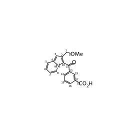 COCc1cc2ccccn2c1C(=O)c1cccc(C(=O)O)c1